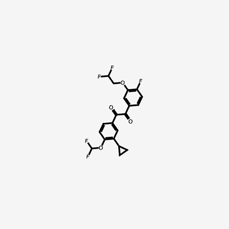 O=C(C(=O)c1ccc(OC(F)F)c(C2CC2)c1)c1ccc(F)c(OCC(F)F)c1